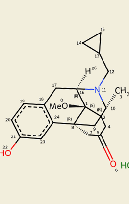 CO[C@@]12[C@H](C)CC(=O)C[C@@]13CCN(CC1CC1)[C@@H]2Cc1ccc(O)cc13.Cl